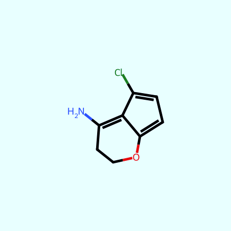 NC1=C2C(Cl)=CC=C2OCC1